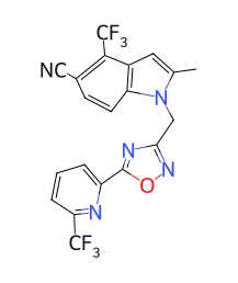 Cc1cc2c(C(F)(F)F)c(C#N)ccc2n1Cc1noc(-c2cccc(C(F)(F)F)n2)n1